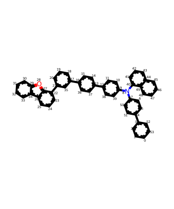 c1ccc(-c2ccc(N(c3ccc(-c4ccc(-c5cccc(-c6cccc7c6oc6ccccc67)c5)cc4)cc3)c3cccc4ccccc34)cc2)cc1